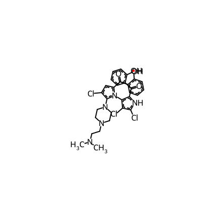 CN(C)CCN1CCN(c2c(Cl)cc(C(=O)c3ccccc3O)n2-c2c(C(=O)c3ccccc3O)[nH]c(Cl)c2Cl)CC1